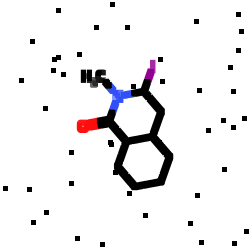 CN1C(=O)C2CCCCC2CC1I